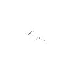 C[C@H](OC1OC2COC3(CCCCC3)OC2C(OS(=O)(=O)C(F)(F)F)C1N)C(N)CC(N)[C@@H]1COC2(CCCCC2)O1